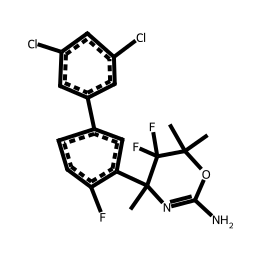 CC1(C)OC(N)=NC(C)(c2cc(-c3cc(Cl)cc(Cl)c3)ccc2F)C1(F)F